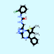 Cc1sc2c(c1C)C(c1ccccc1)=NCc1nnc(CNC(=O)Nc3ccccc3Cl)n1-2